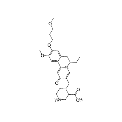 CCC1Cc2cc(OCCCOC)c(OC)cc2-c2cc(=O)c(CC3CCNCC3C(=O)O)cn21